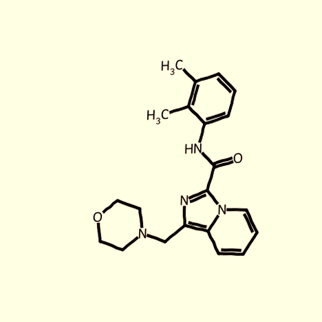 Cc1cccc(NC(=O)c2nc(CN3CCOCC3)c3ccccn23)c1C